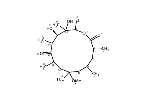 CCC1OC(=O)[C@H](C)CC(C)CC(C)(OC)CC(C)C(=O)C(C)[C@@H](O)C1(C)O